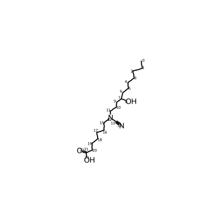 CCCCCCCC(O)CCCN(C#N)CCCCCCC(=O)O